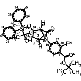 CC(C)(C)OC(=O)c1ccc(N2C(=O)[C@@H]3C[C@H]2C[C@H]3O[Si](c2ccccc2)(c2ccccc2)C(C)(C)C)cc1F